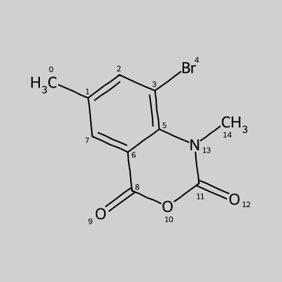 Cc1cc(Br)c2c(c1)c(=O)oc(=O)n2C